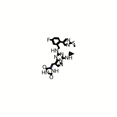 CSc1ncc(-c2ccc(F)cc2CNc2nc(NC3CC3)n3ncc(/C=C4\NC(=O)NC4=O)c3n2)cn1